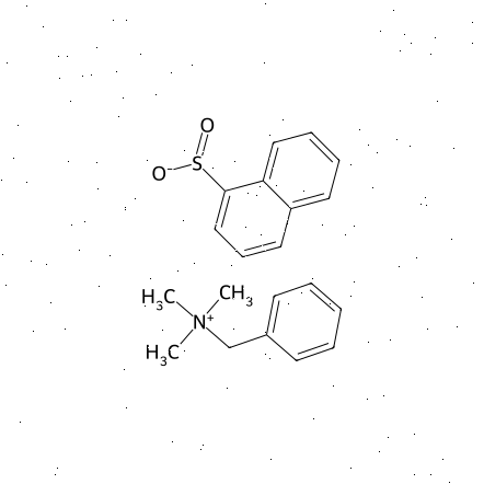 C[N+](C)(C)Cc1ccccc1.O=S([O-])c1cccc2ccccc12